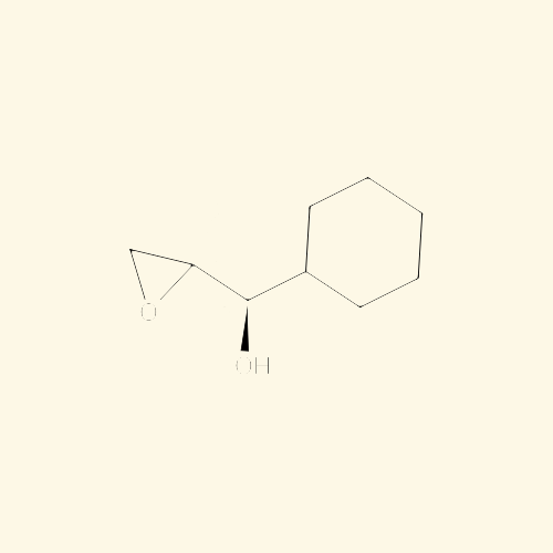 C[C@@]1([C@H](O)C2CCCCC2)CO1